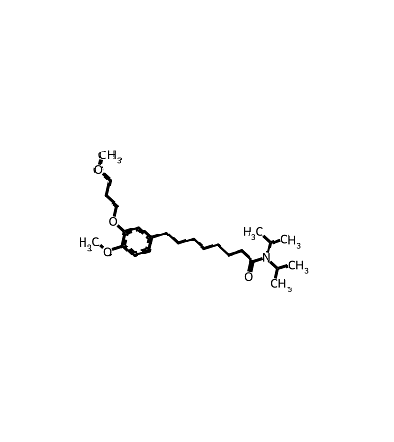 COCCCOc1cc(CCCCCCCC(=O)N(C(C)C)C(C)C)ccc1OC